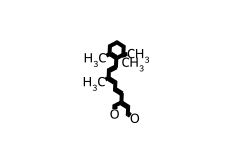 CC(C=CC1=C(C)CCCC1(C)C)=CC=CC(C=O)=CC=O